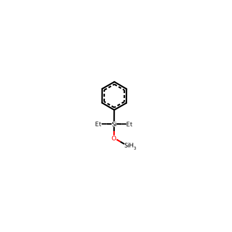 CC[Si](CC)(O[SiH3])c1ccccc1